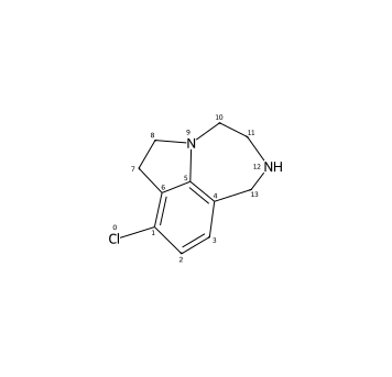 Clc1ccc2c3c1CCN3CCNC2